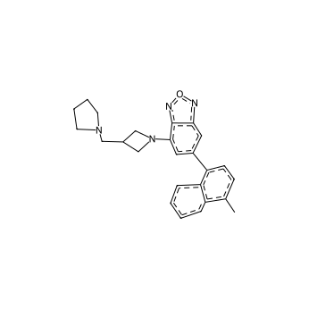 Cc1ccc(-c2cc(N3CC(CN4CCCC4)C3)c3nonc3c2)c2ccccc12